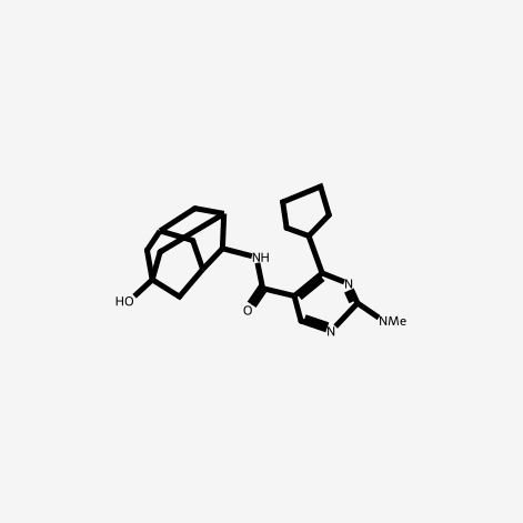 CNc1ncc(C(=O)NC2C3CC4CC2CC(O)(C4)C3)c(C2CCCC2)n1